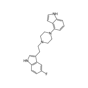 Fc1ccc2[nH]cc(CCN3CCN(c4cccc5[nH]ccc45)CC3)c2c1